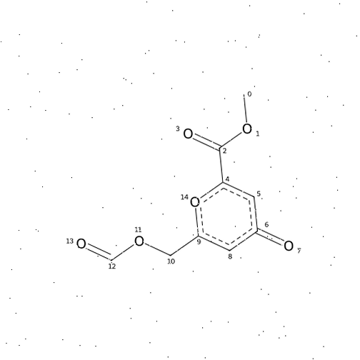 COC(=O)c1cc(=O)cc(COC=O)o1